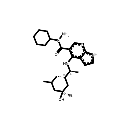 CC[C@]1(O)CC(C)C[C@H]([C@H](C)Nc2c(C(=O)N(N)C3CCCCC3)cnc3[nH]ccc23)C1